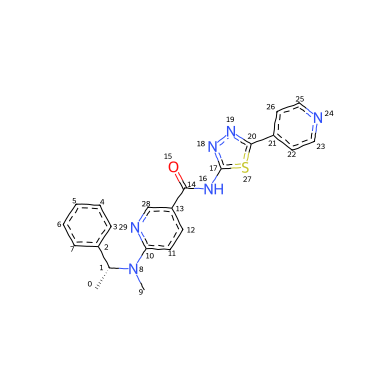 C[C@H](c1ccccc1)N(C)c1ccc(C(=O)Nc2nnc(-c3ccncc3)s2)cn1